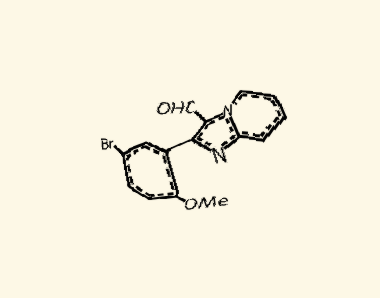 COc1ccc(Br)cc1-c1nc2ccccn2c1C=O